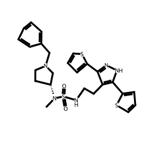 CN([C@@H]1CCN(Cc2ccccc2)C1)S(=O)(=O)NCCc1c(-c2cccs2)n[nH]c1-c1cccs1